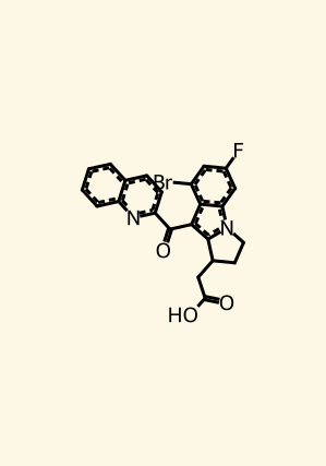 O=C(O)CC1CCn2c1c(C(=O)c1ccc3ccccc3n1)c1c(Br)cc(F)cc12